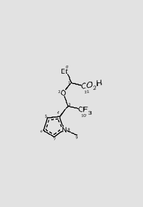 CCC(OC(c1cccn1C)C(F)(F)F)C(=O)O